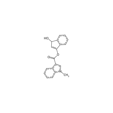 Cn1cc(C(=O)OC2=CC(O)c3ccccc32)c2ccccc21